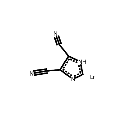 N#Cc1nc[nH]c1C#N.[Li]